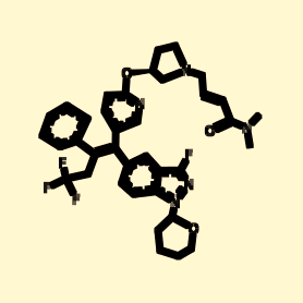 CN(C)C(=O)/C=C/CN1CC[C@H](Oc2ccc(/C(=C(/CC(F)(F)F)c3ccccc3)c3ccc4c(c3)c(F)nn4C3CCCCO3)cn2)C1